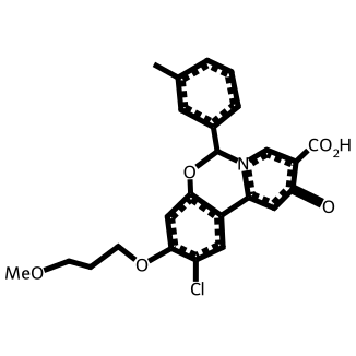 COCCCOc1cc2c(cc1Cl)-c1cc(=O)c(C(=O)O)cn1C(c1cccc(C)c1)O2